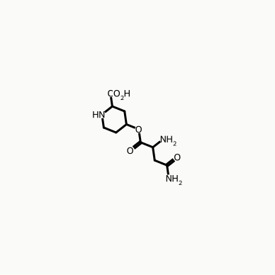 NC(=O)CC(N)C(=O)OC1CCNC(C(=O)O)C1